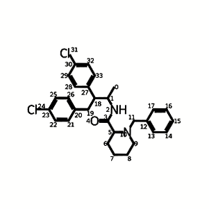 CC(NC(=O)C1CCCCN1Cc1ccccc1)C(Cc1ccc(Cl)cc1)c1ccc(Cl)cc1